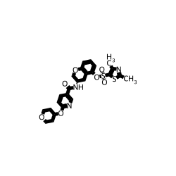 Cc1nc(C)c(S(=O)(=O)Oc2cccc3c2C[C@H](NC(=O)c2ccc(OC4CCOCC4)nc2)CO3)s1